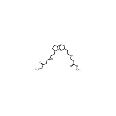 COC(=O)CCNCCC1CC2CC1C1C(CCNCCC(=O)OC)CCC21